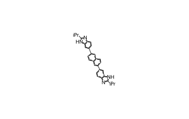 CC(C)c1nc2ccc(-c3ccc4cc(-c5ccc6nc(C(C)C)[nH]c6c5)ccc4c3)cc2[nH]1